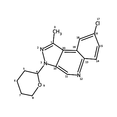 Cc1nn(C2CCCCO2)c2cnc3ccc(Cl)cc3c12